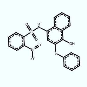 O=[N+]([O-])c1ccccc1S(=O)(=O)Nc1cc(Sc2ccccc2)c(O)c2ccccc12